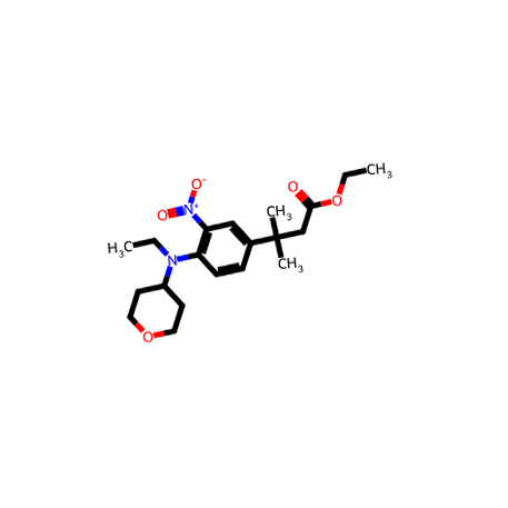 CCOC(=O)CC(C)(C)c1ccc(N(CC)C2CCOCC2)c([N+](=O)[O-])c1